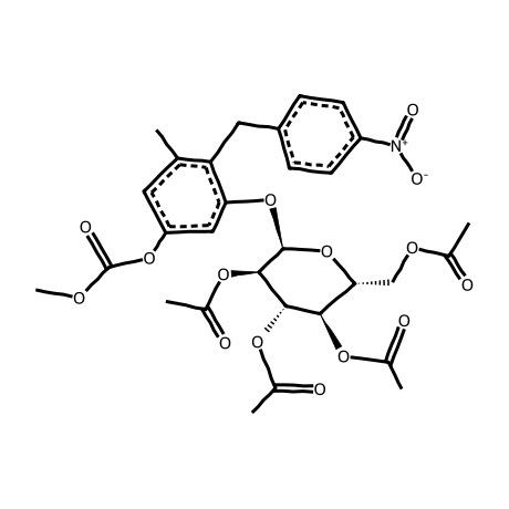 COC(=O)Oc1cc(C)c(Cc2ccc([N+](=O)[O-])cc2)c(O[C@H]2O[C@H](COC(C)=O)[C@@H](OC(C)=O)[C@H](OC(C)=O)[C@H]2OC(C)=O)c1